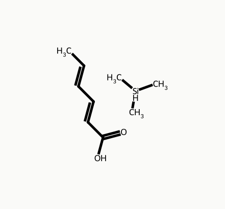 C/C=C/C=C/C(=O)O.C[SiH](C)C